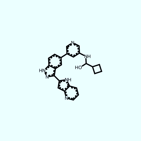 OC(Nc1cncc(-c2ccc3[nH]nc(-c4cc5ncccc5[nH]4)c3c2)c1)C1CCC1